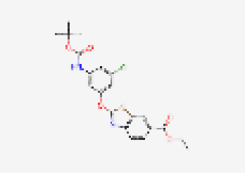 CCOC(=O)c1ccc2nc(Oc3cc(Cl)cc(NC(=O)OC(C)(C)C)c3)sc2c1